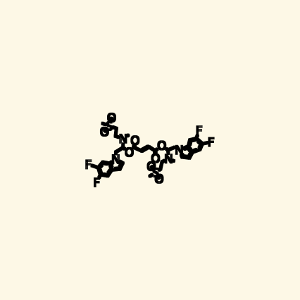 CN(CCS(C)(=O)=O)C(Cn1ccc2cc(F)c(F)cc21)OC(=O)/C=C/C(=O)OC(Cn1ccc2cc(F)c(F)cc21)N(C)CCS(C)(=O)=O